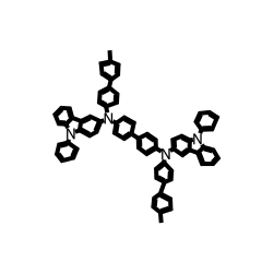 Cc1ccc(-c2ccc(N(c3ccc(-c4ccc(N(c5ccc(-c6ccc(C)cc6)cc5)c5ccc6c(c5)c5ccccc5n6-c5ccccc5)cc4)cc3)c3ccc4c(c3)c3ccccc3n4-c3ccccc3)cc2)cc1